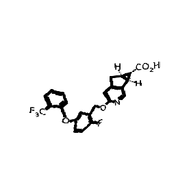 O=C(O)[C@H]1[C@@H]2Cc3cc(OCc4cc(Oc5ccccc5C(F)(F)F)ccc4F)ncc3[C@@H]21